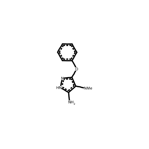 CNc1c(Oc2ccccc2)n[nH]c1N